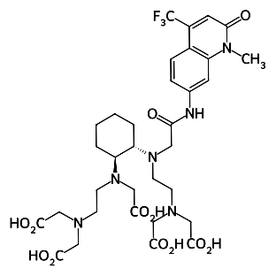 Cn1c(=O)cc(C(F)(F)F)c2ccc(NC(=O)CN(CCN(CC(=O)O)CC(=O)O)[C@H]3CCCC[C@@H]3N(CCN(CC(=O)O)CC(=O)O)CC(=O)O)cc21